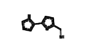 SCc1ccc(-c2ccc[nH]2)o1